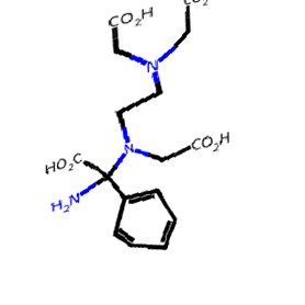 NC(C(=O)O)(c1ccccc1)N(CCN(CC(=O)O)CC(=O)O)CC(=O)O